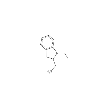 CCN1c2ccccc2CC1CN